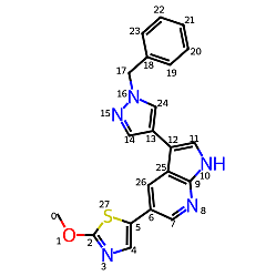 COc1ncc(-c2cnc3[nH]cc(-c4cnn(Cc5ccccc5)c4)c3c2)s1